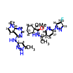 CCn1ccc2c(Nc3cc(C)[nH]n3)nc([C@H]3CC[C@](OC)(C(=O)N[C@@H](C)c4ccc(-n5cc(F)cn5)nc4)CC3)nc21